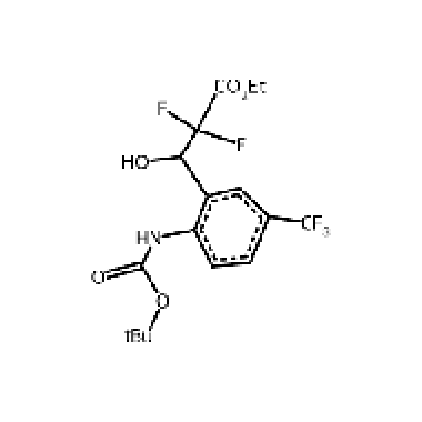 CCOC(=O)C(F)(F)C(O)c1cc(C(F)(F)F)ccc1NC(=O)OC(C)(C)C